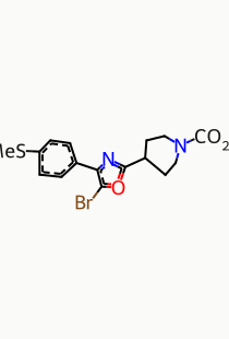 CSc1ccc(-c2nc(C3CCN(C(=O)O)CC3)oc2Br)cc1